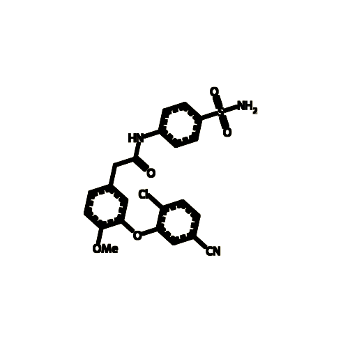 COc1ccc(CC(=O)Nc2ccc(S(N)(=O)=O)cc2)cc1Oc1cc(C#N)ccc1Cl